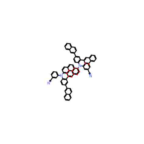 N#Cc1cccc(N(C2=C3C=CC4=C5C(=CC=C(C=C2)C35)C(N(c2cccc(C#N)c2)c2ccc(-c3ccc5ccccc5c3)cc2-c2ccc3ccccc3c2)C=C4)c2ccc(-c3ccc4ccccc4c3)cc2-c2ccc3ccccc3c2)c1